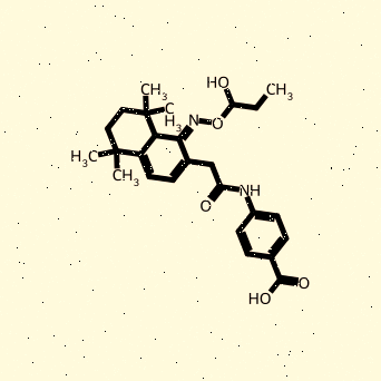 CCC(O)ON=C1C(CC(=O)Nc2ccc(C(=O)O)cc2)=CC=C2C1C(C)(C)CCC2(C)C